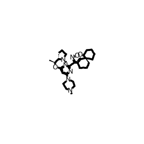 C[C@H](Oc1cc(N2CCN(C)CC2)nc(-c2noc3c2CCC[C@@]32CCCCC2=O)n1)[C@@H]1CCCN1C